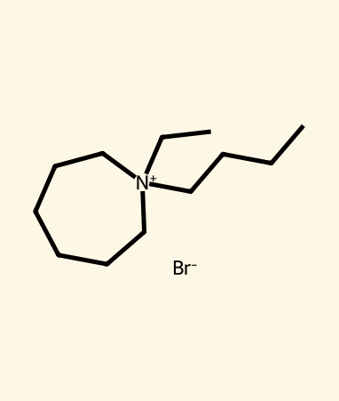 CCCC[N+]1(CC)CCCCCC1.[Br-]